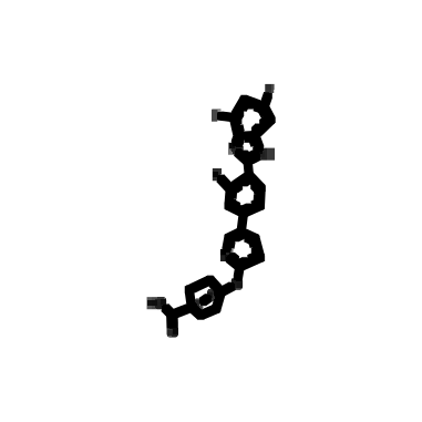 O=C(O)C12CCC(Oc3ccc(-c4ccc(-c5nc6c(F)cc(F)cc6[nH]5)c(F)c4)cn3)(CC1)CC2